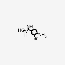 N=C(NO)c1ccc(N)c(Br)c1